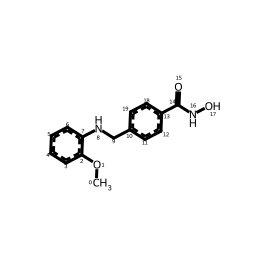 COc1ccccc1NCc1ccc(C(=O)NO)cc1